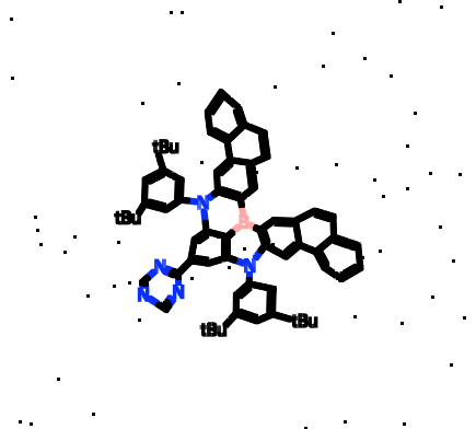 CC(C)(C)c1cc(N2c3cc4c(ccc5ccccc54)cc3B3c4cc5ccc6ccccc6c5cc4N(c4cc(C(C)(C)C)cc(C(C)(C)C)c4)c4cc(-c5ncncn5)cc2c43)cc(C(C)(C)C)c1